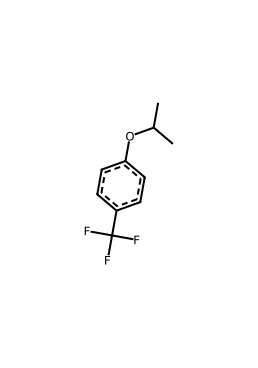 CC(C)Oc1ccc(C(F)(F)F)cc1